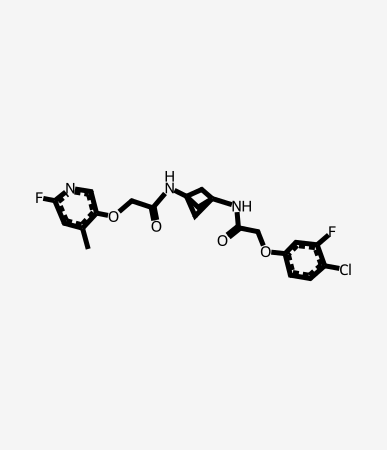 Cc1cc(F)ncc1OCC(=O)NC12CC(NC(=O)COc3ccc(Cl)c(F)c3)(C1)C2